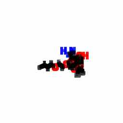 CCCCOCCOC[C@@]12O[C@@H](CN)[C@@H](O)[C@@H]1OC(C)(C)O2